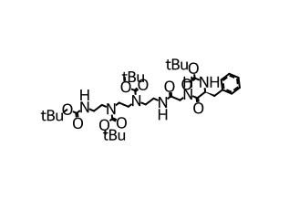 CC(C)(C)OC(=O)NCCN(CCN(CCNC(=O)CNC(=O)[C@H](Cc1ccccc1)NC(=O)OC(C)(C)C)C(=O)OC(C)(C)C)C(=O)OC(C)(C)C